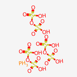 O=S(=O)(O)OS(=O)(=O)O.O=S(=O)(O)OS(=O)(=O)O.O=S(=O)(O)OS(=O)(=O)O.P